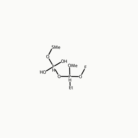 CC[PH](OC)(OF)O[PH](O)(O)OSC